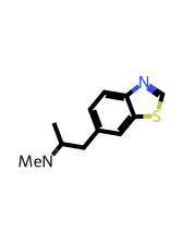 CNC(C)Cc1ccc2ncsc2c1